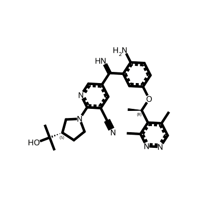 Cc1cnnc(C)c1[C@@H](C)Oc1ccc(N)c(C(=N)c2cnc(N3CC[C@H](C(C)(C)O)C3)c(C#N)c2)c1